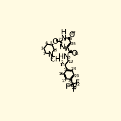 CN1CCCC(Oc2nc(C(=O)NCCc3ccc(C(F)(F)F)cc3)cc(=O)[nH]2)C1